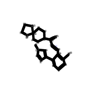 Cn1cnc(-c2cccc(F)c2/C=C/C(=O)C2CCC3(CC2)OCCO3)c1